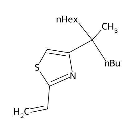 C=Cc1nc(C(C)(CCCC)CCCCCC)cs1